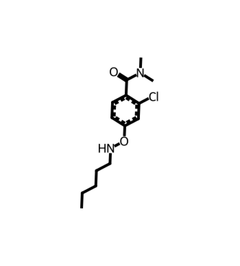 CCCCCNOc1ccc(C(=O)N(C)C)c(Cl)c1